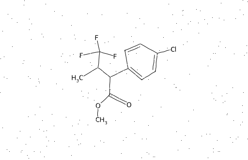 COC(=O)C(c1ccc(Cl)cc1)C(C)C(F)(F)F